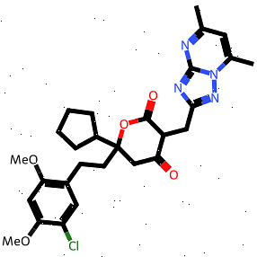 COc1cc(OC)c(CCC2(C3CCCC3)CC(=O)C(Cc3nc4nc(C)cc(C)n4n3)C(=O)O2)cc1Cl